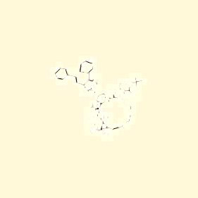 CC(C)(C)OC(=O)N[C@H]1CCCCC/C=C\[C@@H]2C[C@@]2(C(=O)O)NC(=O)[C@@H]2C[C@H](n3nc(/C=C/c4ccccc4)c(-c4ccccc4)n3)CN2C1=O